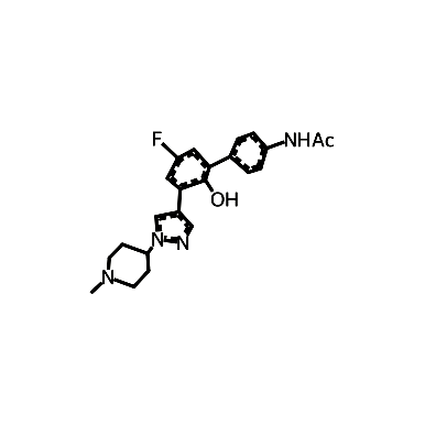 CC(=O)Nc1ccc(-c2cc(F)cc(-c3cnn(C4CCN(C)CC4)c3)c2O)cc1